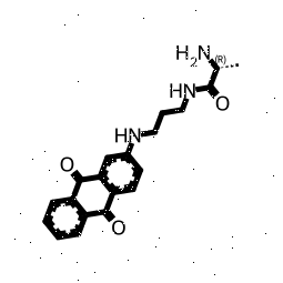 C[C@@H](N)C(=O)NCCCNc1ccc2c(c1)C(=O)c1ccccc1C2=O